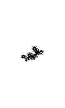 c1ccc(-c2cccc(-c3cc4sc5ccc(-c6nc(-c7ccccc7)nc(-c7ccccc7)n6)cc5c4c4ccccc34)c2)cc1